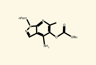 CCCCCn1ncc2c(N)c(OC(=O)OCC(C)C)c(C)nc21